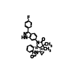 CC1(C)C(=O)N(c2ccc3c(-c4ccc(F)cc4)n[nH]c3c2)[C@@H](c2ccccc2)[C@H]1C1(NC=O)CC1